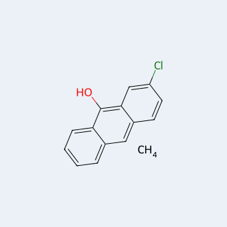 C.Oc1c2ccccc2cc2ccc(Cl)cc12